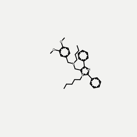 CCCCCn1c(-c2ccccc2)nc(-c2ccccc2)c1CN(CCCC)Cc1ccc(OC)c(OC)c1